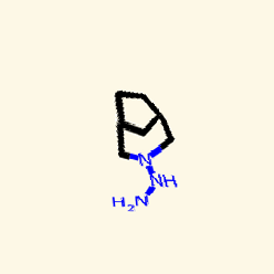 NNN1CC2CCC(C2)C1